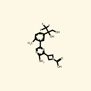 Cc1ccc(C(O)(CO)C(F)(F)F)cc1-c1cnc(N)c(C2CN(C(=O)O)C2)n1